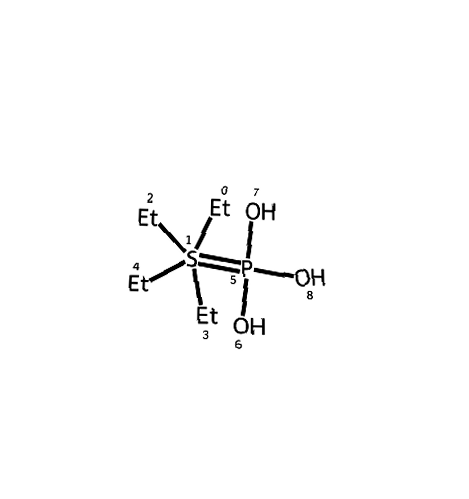 CCS(CC)(CC)(CC)=P(O)(O)O